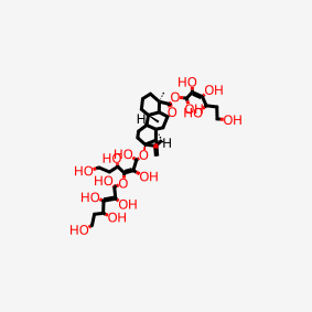 C=C1C[C@@]23CCC4[C@](C)(C(=O)OC(O)/C(O)=C(/O)C(O)CCO)CCC[C@@]4(C)[C@@H]2CC[C@]1(OC(O)/C(O)=C(/OC(O)/C(O)=C(\O)C(O)CCO)C(O)CCO)[C@@H]3C